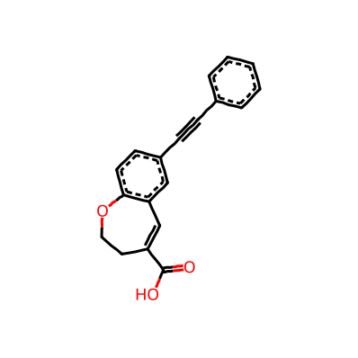 O=C(O)C1=Cc2cc(C#Cc3ccccc3)ccc2OCC1